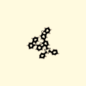 c1ccc(-c2nc(-c3ccccc3)nc(-c3ccc(-c4ccc5oc6ccccc6c5c4)c4oc5c(-n6c7ccccc7c7ccccc76)cccc5c34)n2)cc1